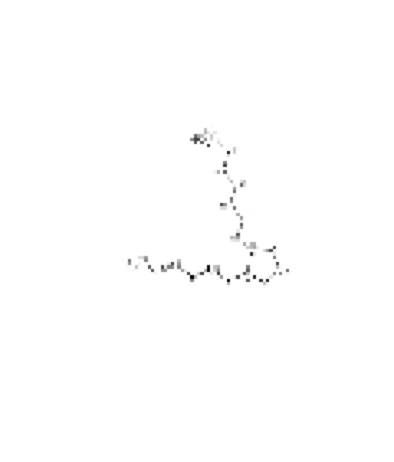 C/C=C/COCC1CSCC1CCCCCCC(=O)O